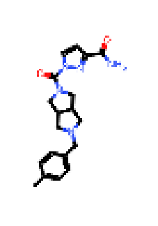 Cc1ccc(CN2CC3CN(C(=O)n4ccc(C(N)=O)n4)CC3C2)cc1